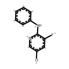 Fc1cc(Cl)cnc1Nc1ccccc1